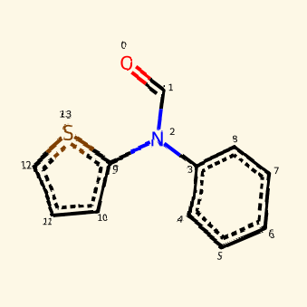 O=[C]N(c1ccccc1)c1cccs1